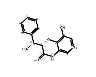 N#Cc1cncc2c1O[C@@H]([C@H](N)c1ccccc1)C(=O)N2